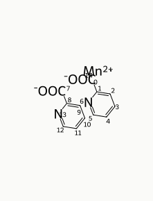 O=C([O-])c1ccccn1.O=C([O-])c1ccccn1.[Mn+2]